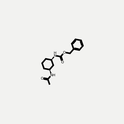 CC(=O)N[C@H]1CCC[C@@H](NC(=O)OCc2ccccc2)C1